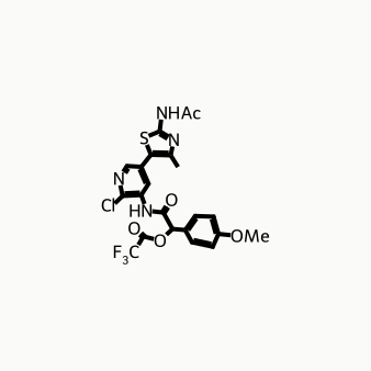 COc1ccc(C(OC(=O)C(F)(F)F)C(=O)Nc2cc(-c3sc(NC(C)=O)nc3C)cnc2Cl)cc1